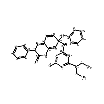 CCN(CC)c1nc(Cl)nc(NC2(Nc3ccnnn3)C=CC3=CC(c4ccccc4)C(=O)OC3=C2)n1